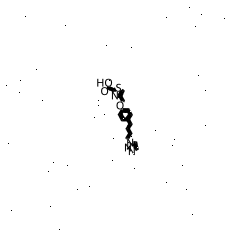 O=C(O)c1nc(COc2ccc(CCCCn3ccnn3)cc2)cs1